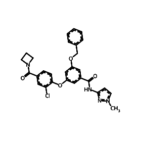 Cn1ccc(NC(=O)c2cc(OCc3ccccc3)cc(Oc3ccc(C(=O)N4CCC4)cc3Cl)c2)n1